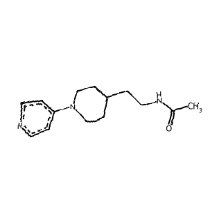 CC(=O)NCCC1CCN(c2ccncc2)CC1